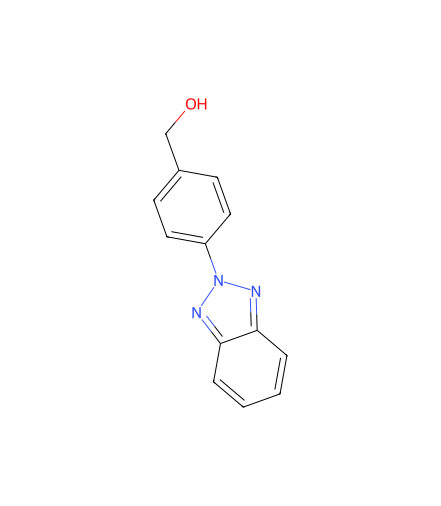 OCc1ccc(-n2nc3ccccc3n2)cc1